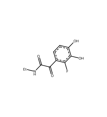 CCNC(=O)C(=O)c1ccc(O)c(O)c1F